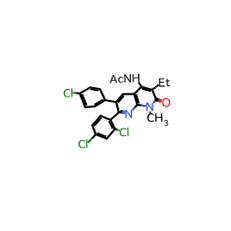 CCc1c(NC(C)=O)c2cc(-c3ccc(Cl)cc3)c(-c3ccc(Cl)cc3Cl)nc2n(C)c1=O